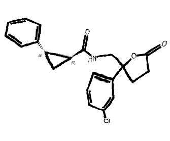 O=C1CCC(CNC(=O)[C@H]2C[C@@H]2c2ccccc2)(c2cccc(Cl)c2)O1